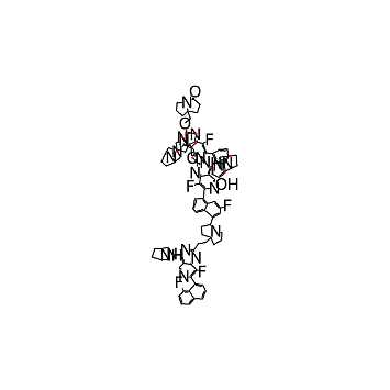 O=C1CCC2(COc3nc(N4CC5CCC(C4)N5C4CN5CCCC5(COc5nc(N6CC7CCC(C6)N7)c6cnc(-c7cccc8c(C9CCC%10(CCc%11nc(N%12CC%13CCC(C%12)N%13)c%12cnc(-c%13cccc%14cccc(F)c%13%14)c(F)c%12n%11)CCCN9%10)cc(F)cc78)c(F)c6n5)C4)c4cnc(-c5cccc6cc(O)ccc56)c(F)c4n3)CCCN12